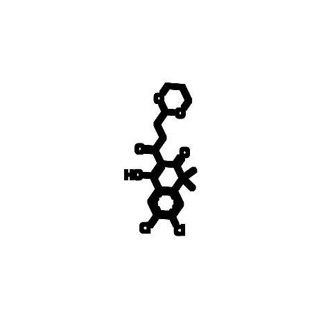 CC1(C)C(=O)C(C(=O)CCC2OCCCO2)=C(O)c2cc(Cl)c(Cl)cc21